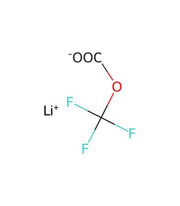 O=C([O-])OC(F)(F)F.[Li+]